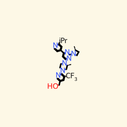 CC(C)c1cc(-c2cc(N3CCN(c4ncc(CO)cc4C(F)(F)F)C[C@@H]3C)nc(N3CC[C@@H]3C)n2)ccn1